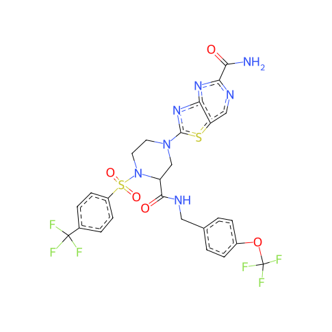 NC(=O)c1ncc2sc(N3CCN(S(=O)(=O)c4ccc(C(F)(F)F)cc4)C(C(=O)NCc4ccc(OC(F)(F)F)cc4)C3)nc2n1